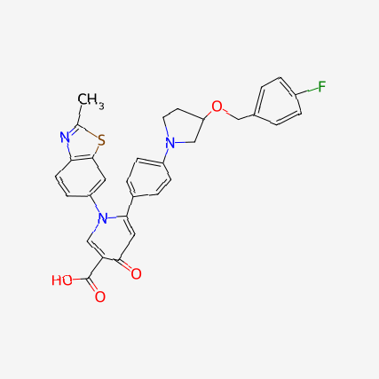 Cc1nc2ccc(-n3cc(C(=O)O)c(=O)cc3-c3ccc(N4CCC(OCc5ccc(F)cc5)C4)cc3)cc2s1